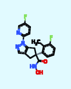 Cc1c(F)cccc1[C@]1(C(=O)NO)Cc2cnn(-c3ccc(F)cn3)c2C1